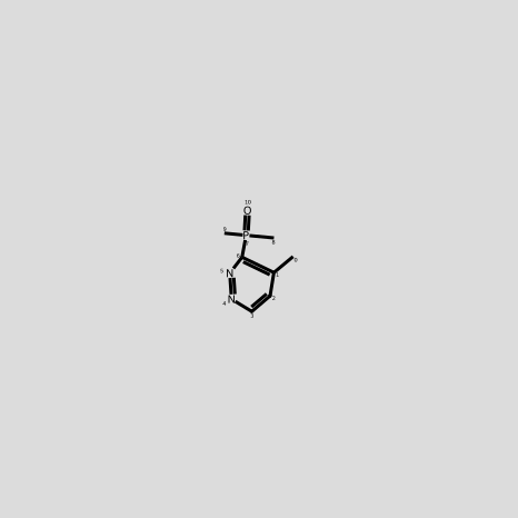 Cc1ccnnc1P(C)(C)=O